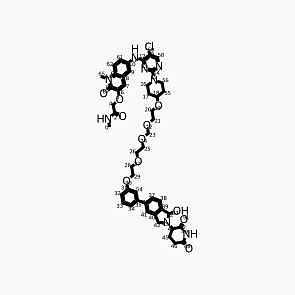 CNC(=O)COc1cc2cc(Nc3nc(N4CCC(OCCOCOCCOCCOc5cccc(-c6ccc7c(c6)CN(C6CCC(=O)NC6=O)C7O)c5)CC4)ncc3Cl)ccc2n(C)c1=O